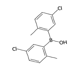 Cc1ccc(Cl)cc1B(O)c1cc(Cl)ccc1C